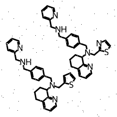 c1ccc(CNCc2ccc(CN(Cc3cccs3)C3CCCc4cccnc43)cc2)nc1.c1ccc(CNCc2ccc(CN(Cc3nccs3)C3CCCc4cccnc43)cc2)nc1